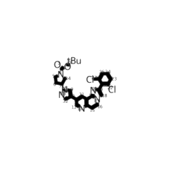 CC(C)(C)OC(=O)N1CC[C@H](n2cc(-c3cnc4ccn5cc(-c6c(Cl)cccc6Cl)nc5c4c3)cn2)C1